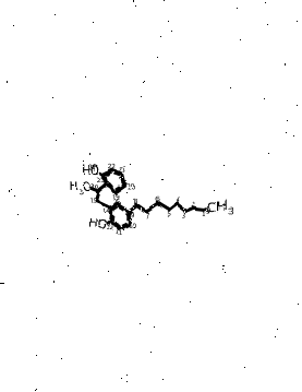 CCCCCCCCCc1ccc(O)c(CC(C)c2ccccc2O)c1